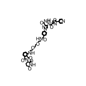 NC(=O)c1nn(-c2ccc(C(=O)NCCOCCOCCNc3cccc4c3C(=O)N(C3CCC(=O)NC3=O)C4=O)cc2)cc1NC(=O)c1coc(-c2ccncc2)n1